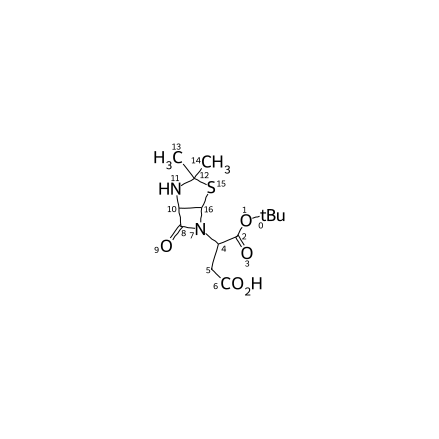 CC(C)(C)OC(=O)C(CC(=O)O)N1C(=O)C2NC(C)(C)SC21